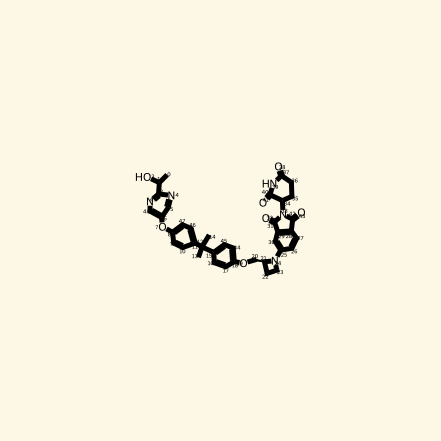 CC(O)c1ncc(Oc2ccc(C(C)(C)c3ccc(OC[C@@H]4CCN4c4ccc5c(c4)C(=O)N(C4CCC(=O)NC4=O)C5=O)cc3)cc2)cn1